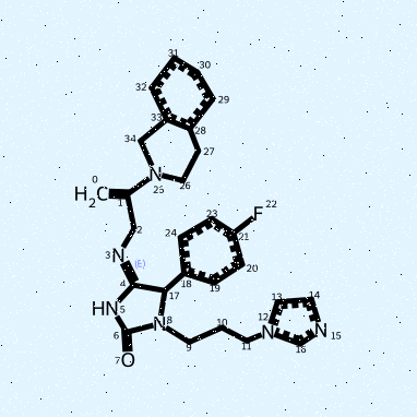 C=C(C/N=C1/NC(=O)N(CCCn2ccnc2)C1c1ccc(F)cc1)N1CCc2ccccc2C1